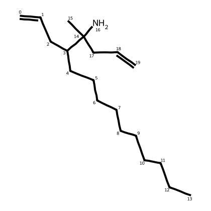 C=CCC(CCCCCCCCCC)C(C)(N)CC=C